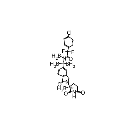 BN(C(=O)C(F)(F)c1ccc(Cl)cc1)C(B)(B)c1ccc2c(c1)CN([C@]1(B)CCC(=O)NC1=O)C2=O